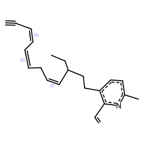 C#C/C=C\C=C/C/C=C\C(CC)CCc1ccc(C)nc1C=C